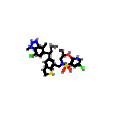 CC[C@@H]1CN(Cc2cc(C(CC(=O)O)c3cc(Cl)c4c(nnn4C)c3C)cc3ccsc23)S(=O)(=O)c2cc(Cl)cnc2O1